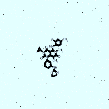 Cc1ccc(Nc2c3c(=O)n(C4CC4)c(=O)n(-c4cccc(NC5=NCCO5)c4)c3c(C)c(=O)n2C)c(F)c1